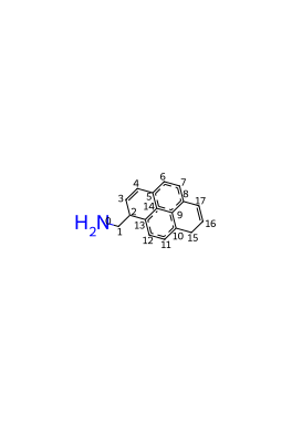 NCC1C=Cc2ccc3c4c(ccc1c24)CC=C3